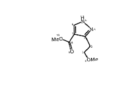 COCCc1n[nH]cc1C(=O)OC